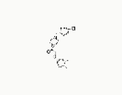 Cc1ccc(OCC(=O)N2CCN(Cc3ccc(Cl)cc3)CC2)cc1C